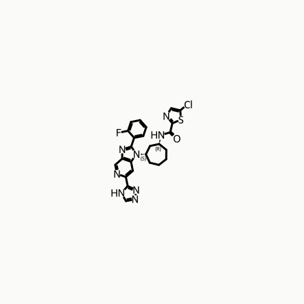 O=C(N[C@@H]1CCCC[C@H](n2c(-c3ccccc3F)nc3cnc(-c4nnc[nH]4)cc32)C1)c1ncc(Cl)s1